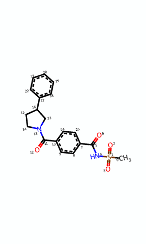 CS(=O)(=O)NC(=O)c1ccc(C(=O)N2C[CH]C(c3ccccc3)C2)cc1